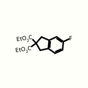 CCOC(=O)C1(C(=O)OCC)Cc2ccc(F)cc2C1